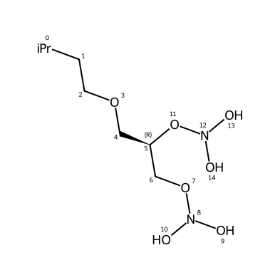 CC(C)CCOC[C@H](CON(O)O)ON(O)O